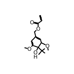 C=CC(=O)OCC1=CC(OC)C(O)(C(C)(C)C)C(OC)=C1